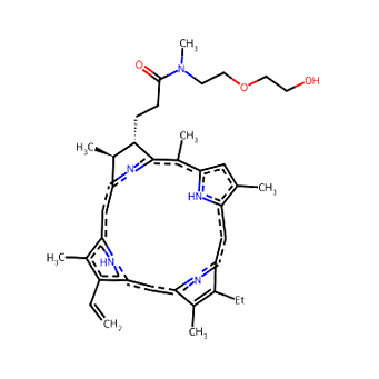 C=Cc1c(C)c2cc3nc(c(C)c4cc(C)c(cc5nc(cc1[nH]2)C(C)=C5CC)[nH]4)[C@@H](CCC(=O)N(C)CCOCCO)[C@@H]3C